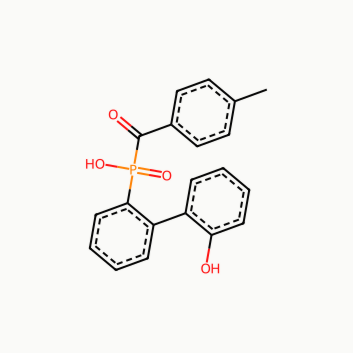 Cc1ccc(C(=O)P(=O)(O)c2ccccc2-c2ccccc2O)cc1